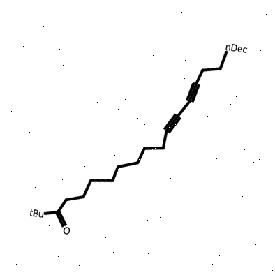 CCCCCCCCCCCCC#CC#CCCCCCCCCC(=O)C(C)(C)C